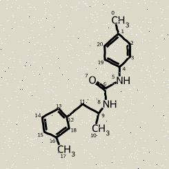 Cc1ccc(NC(=O)NC(C)Cc2cccc(C)c2)cc1